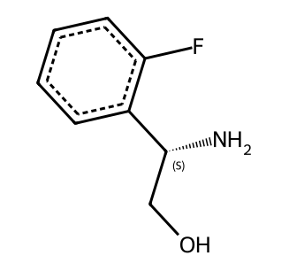 N[C@H](CO)c1ccccc1F